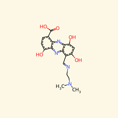 CN(C)CC/N=C/c1c(O)cc(O)c2nc3c(C(=O)O)ccc(O)c3nc12